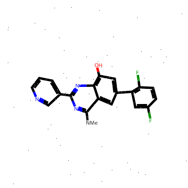 CNc1nc(-c2cccnc2)nc2c(O)cc(-c3cc(F)ccc3F)cc12